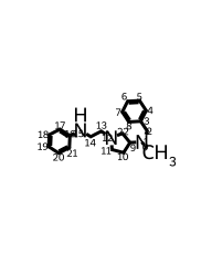 CN(Cc1ccccc1)C1CCN(CCNc2ccccc2)C1